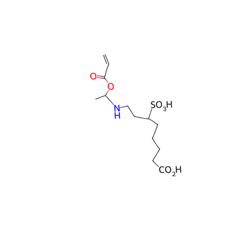 C=CC(=O)OC(C)NCCC(CCCCC(=O)O)S(=O)(=O)O